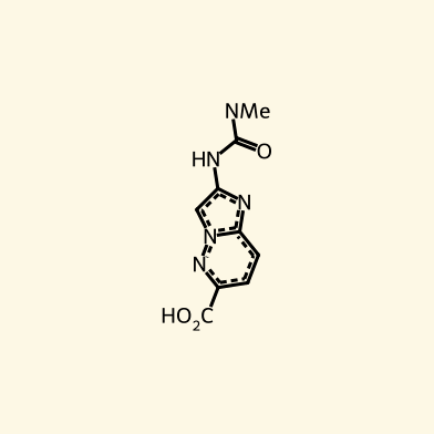 CNC(=O)Nc1cn2nc(C(=O)O)ccc2n1